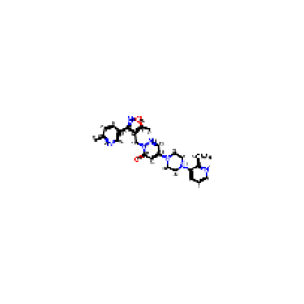 COc1ncccc1N1CCN(c2cnn(Cc3c(-c4ccc(C)nc4)noc3C)c(=O)c2)CC1